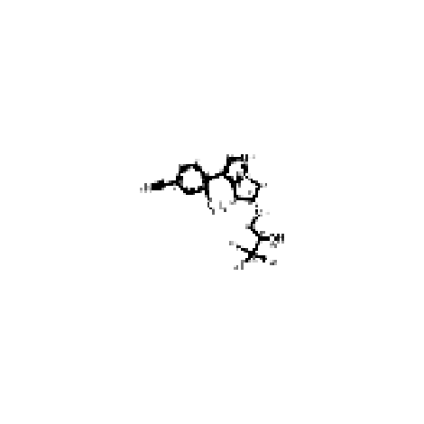 Cc1cc(C#N)ccc1-c1cnn2c1C[C@@H](OCC(O)C(F)(F)F)C2